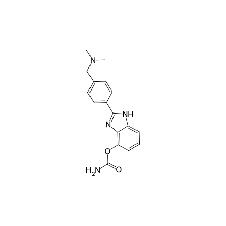 CN(C)Cc1ccc(-c2nc3c(OC(N)=O)cccc3[nH]2)cc1